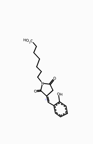 O=C(O)CCCCCCN1C(=O)C/C(=C\c2ccccc2O)C1=O